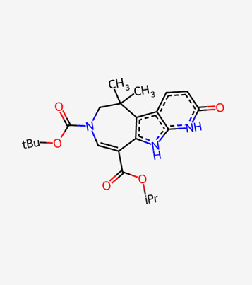 CC(C)OC(=O)C1=CN(C(=O)OC(C)(C)C)CC(C)(C)c2c1[nH]c1[nH]c(=O)ccc21